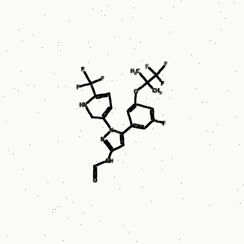 CC(C)(Oc1cc(F)cc(-c2cc(NC=O)nn2C2=CC=C(C(F)(F)F)NC2)c1)C(F)(F)F